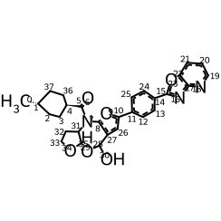 C[C@H]1CC[C@H](C(=O)N(c2oc(-c3ccc(-c4nc5ncccc5o4)cc3)cc2C(O)O)C2CCOC2)CC1